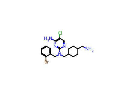 NCC1CCC(CN(Cc2ccccc2Br)c2ncc(Cl)c(N)n2)CC1